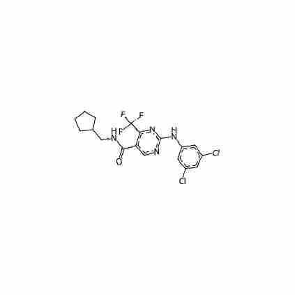 O=C(NCC1CCCC1)c1cnc(Nc2cc(Cl)cc(Cl)c2)nc1C(F)(F)F